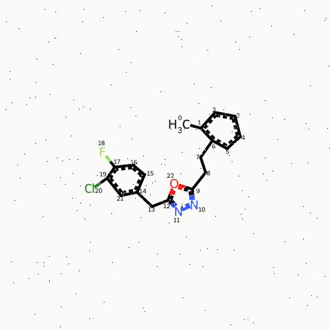 Cc1ccccc1CCc1nnc(Cc2ccc(F)c(Cl)c2)o1